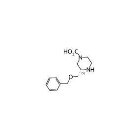 O=C(O)N1CCN[C@H](COCc2ccccc2)C1